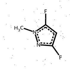 Cn1nc(F)cc1F